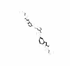 NCCNC(=O)c1cc2cc(NC(=O)c3ccnc(C(=O)Nc4ccc5[nH]c(C(=O)NCCN)cc5c4)c3)ccc2[nH]1